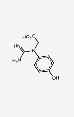 N=C(N)N(CC(=O)O)c1ccc(O)cc1